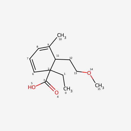 CCC1(C(=O)O)C=CC=C(C)C1CCOC